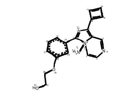 N[N+]12C=CN=CC1=C(C1=CC=C1)N=C2c1cccc(OCCO)c1